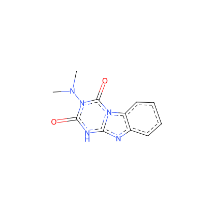 CN(C)n1c(=O)[nH]c2nc3ccccc3n2c1=O